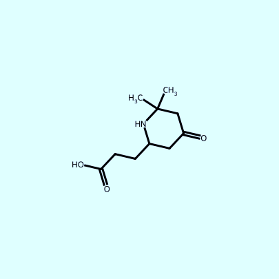 CC1(C)CC(=O)CC(CCC(=O)O)N1